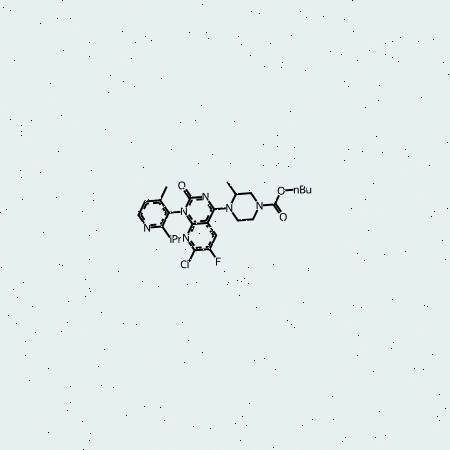 CCCCOC(=O)N1CCN(c2nc(=O)n(-c3c(C)ccnc3C(C)C)c3nc(Cl)c(F)cc23)C(C)C1